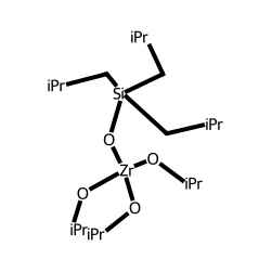 CC(C)C[Si](CC(C)C)(CC(C)C)[O][Zr]([O]C(C)C)([O]C(C)C)[O]C(C)C